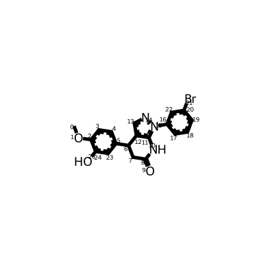 COc1ccc(C2CC(=O)Nc3c2cnn3-c2cccc(Br)c2)cc1O